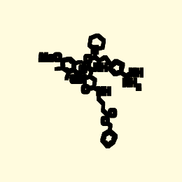 COc1cc(C)c(S(=O)(=O)NC(CC(=O)NCCCC(=O)OCc2ccccc2)C(=O)N[C@H](Cc2ccc(C(=N)N)cc2)C(=O)N2CCCCC2)c(C)c1C